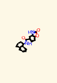 O=C(Nc1cccc2ccccc12)c1ccc2oc(=O)[nH]c2c1